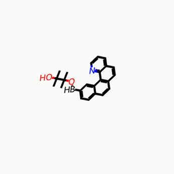 CC(C)(O)C(C)(C)OBc1ccc2ccc3ccc4cccnc4c3c2c1